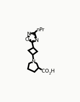 CCCc1noc(C2CC(N3CCCC(C(=O)O)C3)C2)n1